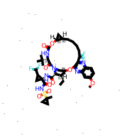 CC[C@@H]1[C@@H]2CN(C(=O)[C@H](C(C)(C)C)NC(=O)O[C@@H]3C[C@H]3CCCCC(F)(F)c3nc4ccc(OC)cc4nc3O2)[C@@H]1C(=O)N[C@]1(C(=O)NS(=O)(=O)C2(C)CC2)CC1C(F)F